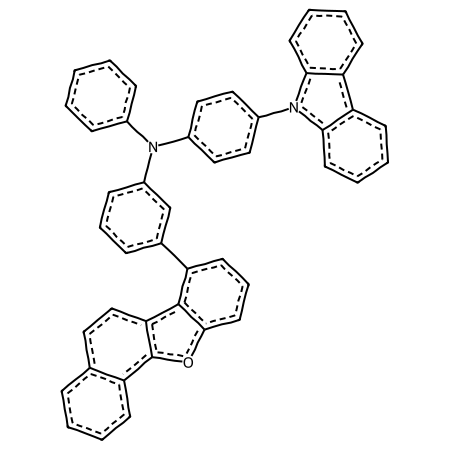 c1ccc(N(c2ccc(-n3c4ccccc4c4ccccc43)cc2)c2cccc(-c3cccc4oc5c6ccccc6ccc5c34)c2)cc1